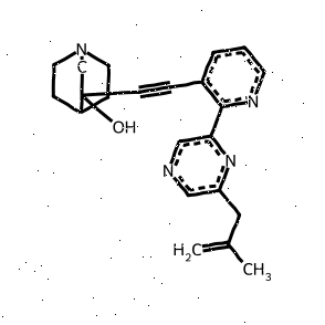 C=C(C)Cc1cncc(-c2ncccc2C#CC2(O)CN3CCC2CC3)n1